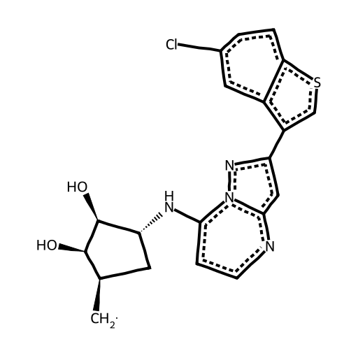 [CH2][C@@H]1C[C@@H](Nc2ccnc3cc(-c4csc5ccc(Cl)cc45)nn23)[C@H](O)[C@@H]1O